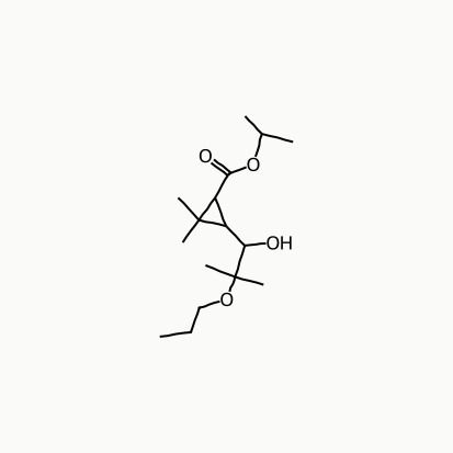 CCCOC(C)(C)C(O)C1C(C(=O)OC(C)C)C1(C)C